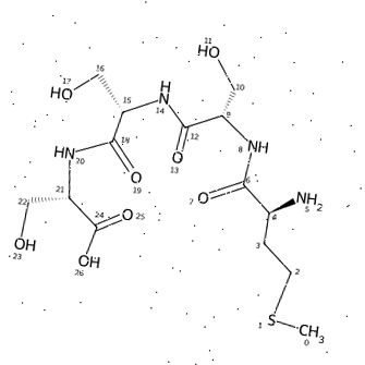 CSCC[C@H](N)C(=O)N[C@@H](CO)C(=O)N[C@@H](CO)C(=O)N[C@@H](CO)C(=O)O